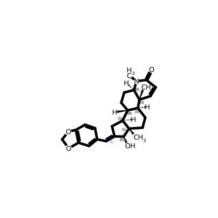 CN1C(=O)C=C[C@]2(C)[C@H]3CC[C@]4(C)[C@@H](O)/C(=C/c5ccc6c(c5)OCO6)C[C@H]4[C@@H]3CC[C@@H]12